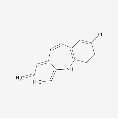 C=C/C=C1/C=CC2=C(CCC(Cl)=C2)N/C1=C/C